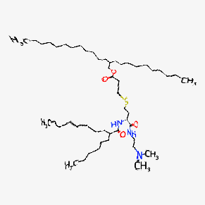 CCCCCCCCCCCCC(CCCCCCCCCC)COC(=O)CCSCCC(NC(=O)C(CCCCCC)CCCCCCCC)C(=O)NCCN(C)C